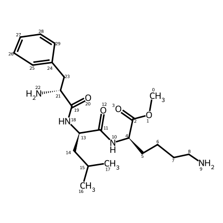 COC(=O)[C@@H](CCCCN)NC(=O)[C@@H](CC(C)C)NC(=O)[C@H](N)Cc1ccccc1